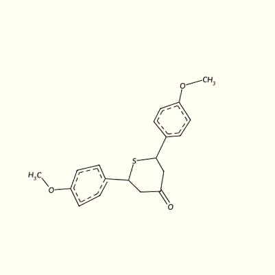 COc1ccc(C2CC(=O)CC(c3ccc(OC)cc3)S2)cc1